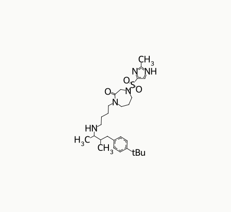 Cc1nc(S(=O)(=O)N2CCCN(CCCCNC(C)C(C)Cc3ccc(C(C)(C)C)cc3)C(=O)C2)c[nH]1